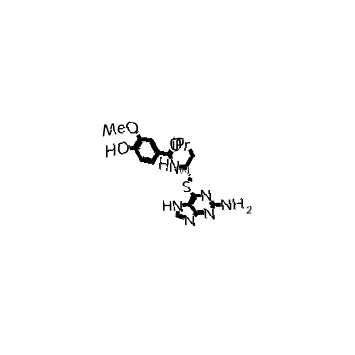 COc1cc(C(=O)N[C@@H](CSc2nc(N)nc3nc[nH]c23)CC(C)C)ccc1O